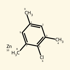 Cc1cc(C)c(Cl)c(C)c1.[Zn]